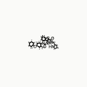 Cc1cc(Oc2ccccc2)ccc1N1C(=O)Nc2c(C(=O)NCC3CCCN3)sc3nccc1c23